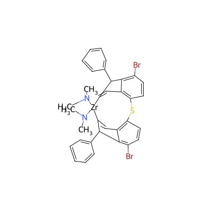 C[N](C)[Zr]1([N](C)C)[C]2=Cc3c(ccc(Br)c3C2c2ccccc2)Sc2ccc(Br)c3c2C=[C]1C3c1ccccc1